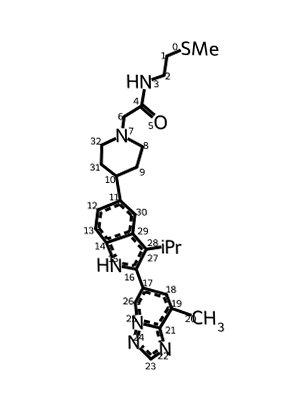 CSCCNC(=O)CN1CCC(c2ccc3[nH]c(-c4cc(C)c5ncnn5c4)c(C(C)C)c3c2)CC1